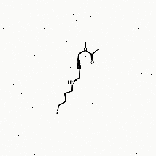 CCCCCNCC#CCN(C)C(C)=O